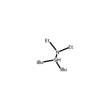 CCC(C)[SiH](C(C)CC)N(CC)CC